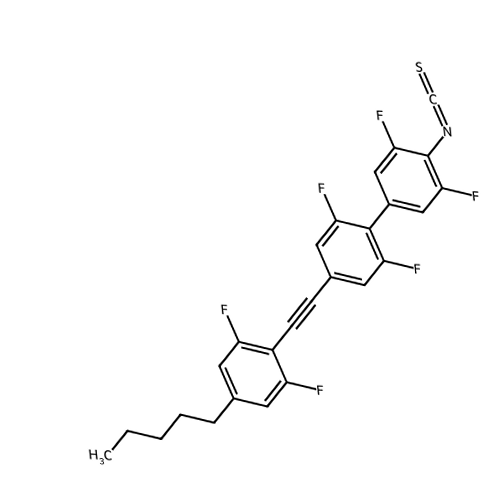 CCCCCc1cc(F)c(C#Cc2cc(F)c(-c3cc(F)c(N=C=S)c(F)c3)c(F)c2)c(F)c1